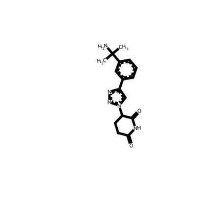 CC(C)(N)c1cccc(-c2cn(C3CCC(=O)NC3=O)nn2)c1